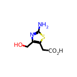 Nc1nc(CO)c(CC(=O)O)s1